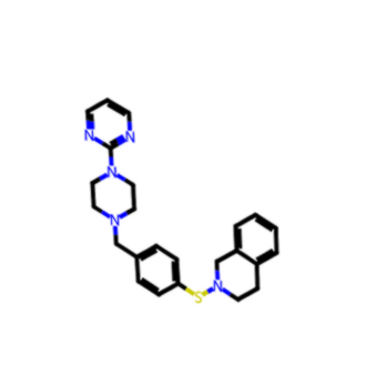 c1cnc(N2CCN(Cc3ccc(SN4CCc5ccccc5C4)cc3)CC2)nc1